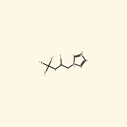 FC(F)(F)CC(I)Cn1ccnc1